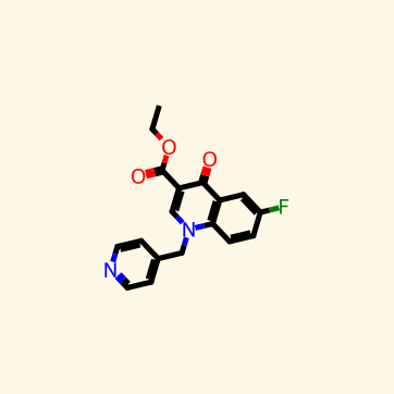 CCOC(=O)c1cn(Cc2ccncc2)c2ccc(F)cc2c1=O